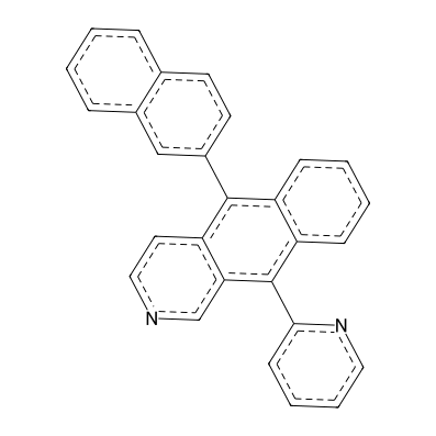 c1ccc(-c2c3ccccc3c(-c3ccc4ccccc4c3)c3ccncc23)nc1